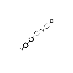 CC(=O)c1ccc(-c2ccc(N3CCN(CC(=O)N4CCN(C5CCC5)CC4)CC3)nn2)cc1